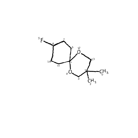 CC1(C)COC2(CCC(F)CC2)OC1